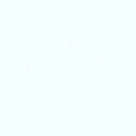 CCN(CC)Cc1ccc(C(CC(=O)c2ccc(OC)cc2)C[N+](=O)[O-])cc1